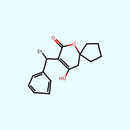 CCC(C1=C(O)CC2(CCCC2)OC1=O)c1ccccc1